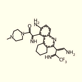 CN1CCN(C(=O)C(=N)c2c(N)ccc3nc(/C(=C/N)C(=N)C(F)(F)F)c4c(c23)CCCC4)CC1